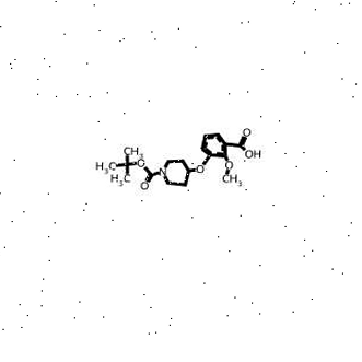 COc1c(OC2CCN(C(=O)OC(C)(C)C)CC2)cccc1C(=O)O